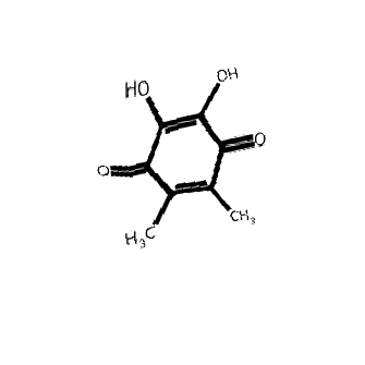 CC1=C(C)C(=O)C(O)=C(O)C1=O